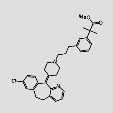 COC(=O)C(C)(C)c1cccc(CCCN2CCC(=C3c4ccc(Cl)cc4CCc4cccnc43)CC2)c1